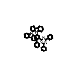 c1ccc(-c2nc(-c3ccccc3)nc(-c3cc(-n4c5ccccc5c5cccc(-n6c7ccccc7c7ccccc76)c54)ccc3-c3ccccc3)n2)cc1